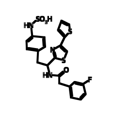 O=C(Cc1cccc(F)c1)NC(Cc1ccc(NS(=O)(=O)O)cc1)c1nc(-c2cccs2)cs1